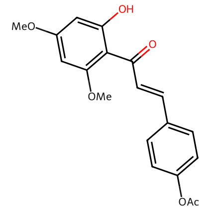 COc1cc(O)c(C(=O)C=Cc2ccc(OC(C)=O)cc2)c(OC)c1